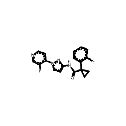 O=C(Nc1ccn(-c2ccncc2F)n1)C1(c2ccccc2F)CC1